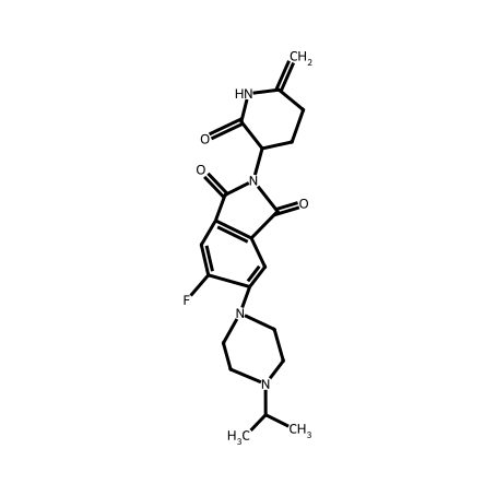 C=C1CCC(N2C(=O)c3cc(F)c(N4CCN(C(C)C)CC4)cc3C2=O)C(=O)N1